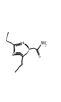 CCc1nc(CC)n(C(N)=O)n1